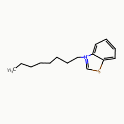 CCCCCCCC[n+]1csc2ccccc21